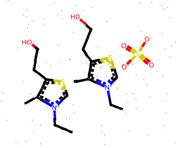 CC[n+]1csc(CCO)c1C.CC[n+]1csc(CCO)c1C.O=S(=O)([O-])[O-]